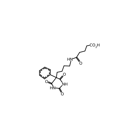 O=C(O)CCCC(=O)NCCCCC1(c2ccccc2)C(=O)NC(=O)NC1=O